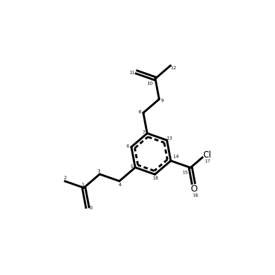 C=C(C)CCc1cc(CCC(=C)C)cc(C(=O)Cl)c1